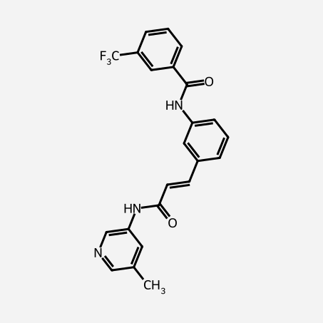 Cc1cncc(NC(=O)C=Cc2cccc(NC(=O)c3cccc(C(F)(F)F)c3)c2)c1